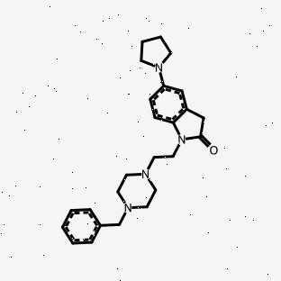 O=C1Cc2cc(N3CCCC3)ccc2N1CCN1CCN(Cc2ccccc2)CC1